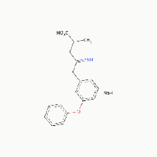 CC(CC(=N)Cc1cccc(Oc2ccccc2)c1)C(=O)O.[NaH]